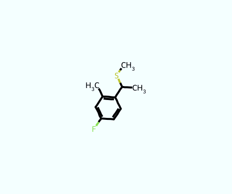 CSC(C)c1ccc(F)cc1C